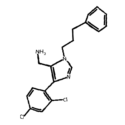 NCc1c(-c2ccc(Cl)cc2Cl)ncn1CCCc1ccccc1